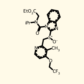 CCOC(=O)CN(C(=O)n1c([S+]([O-])Cc2nccc(OCC(F)(F)F)c2C)nc2ccccc21)C(C)C